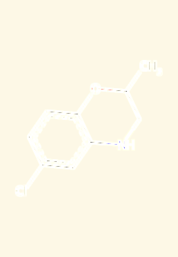 CC1CNc2cc(Cl)ccc2O1